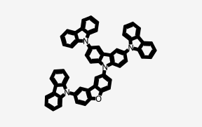 c1ccc2c(c1)c1ccccc1n2-c1ccc2oc3ccc(-n4c5ccc(-n6c7ccccc7c7ccccc76)cc5c5cc(-n6c7ccccc7c7ccccc76)ccc54)cc3c2c1